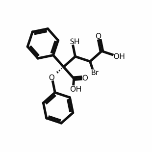 O=C(O)C(Br)C(S)[C@@](Oc1ccccc1)(C(=O)O)c1ccccc1